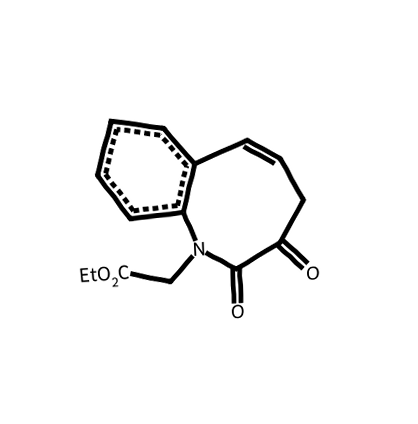 CCOC(=O)CN1C(=O)C(=O)CC=Cc2ccccc21